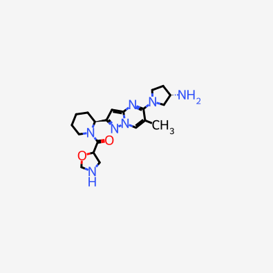 Cc1cn2nc([C@@H]3CCCCN3C(=O)C3CNCO3)cc2nc1N1CC[C@H](N)C1